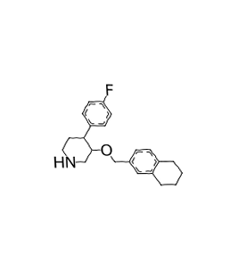 Fc1ccc(C2CCNCC2OCc2ccc3c(c2)CCCC3)cc1